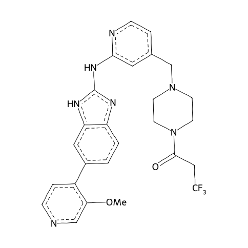 COc1cnccc1-c1ccc2nc(Nc3cc(CN4CCN(C(=O)CC(F)(F)F)CC4)ccn3)[nH]c2c1